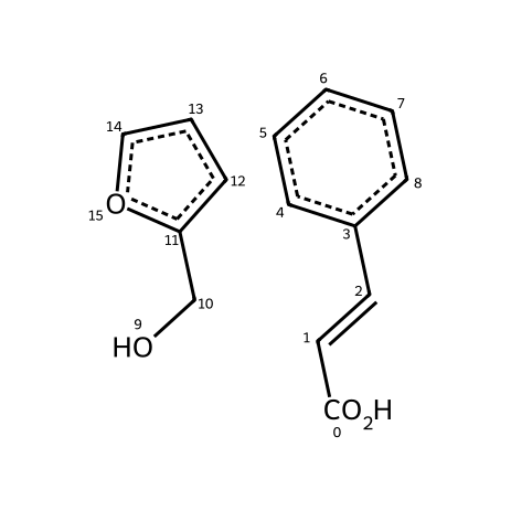 O=C(O)C=Cc1ccccc1.OCc1ccco1